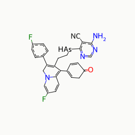 N#Cc1c(N)ncnc1[AsH]CCC1=C(c2ccc(F)cc2)CN2C=C(F)C=CC2=C1C1=CCC(=O)C=C1